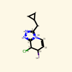 ClC1c2nnc(CC3CC3)n2C=CC1I